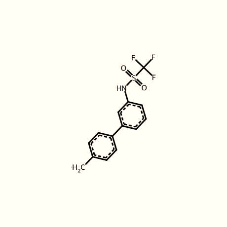 [CH2]c1ccc(-c2cccc(NS(=O)(=O)C(F)(F)F)c2)cc1